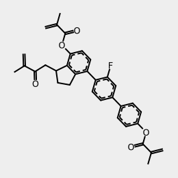 C=C(C)C(=O)CC1CCc2c(-c3ccc(-c4ccc(OC(=O)C(=C)C)cc4)cc3F)ccc(OC(=O)C(=C)C)c21